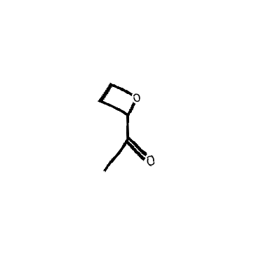 CC(=O)C1CCO1